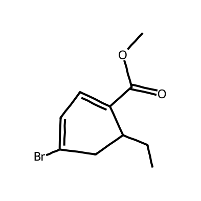 CCC1CC(Br)=CC=C1C(=O)OC